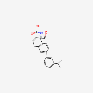 CC(C)c1cccc(-c2ccc3c(c2)CC=C[C@]3(C=O)NC(=O)O)c1